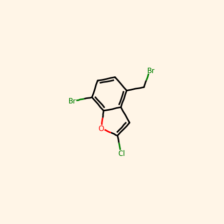 Clc1cc2c(CBr)ccc(Br)c2o1